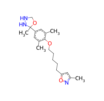 Cc1cc(CCCCCOc2c(C)cc(C3(C)NNCO3)cc2C)on1